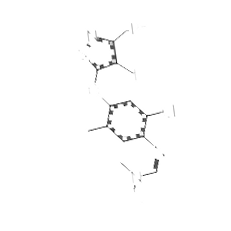 CCN(C)/C=N\c1cc(C)c(Oc2snc(C(C)C)c2I)cc1Cl